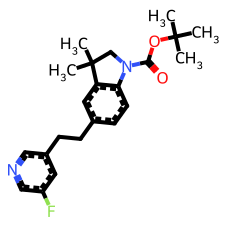 CC(C)(C)OC(=O)N1CC(C)(C)c2cc(CCc3cncc(F)c3)ccc21